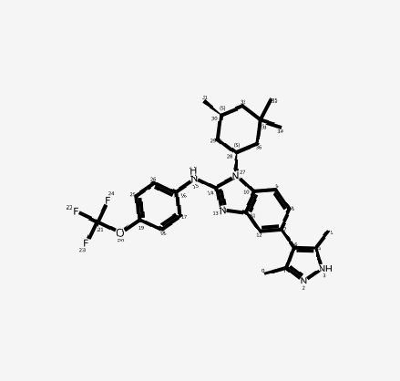 Cc1n[nH]c(C)c1-c1ccc2c(c1)nc(Nc1ccc(OC(F)(F)F)cc1)n2[C@H]1C[C@@H](C)CC(C)(C)C1